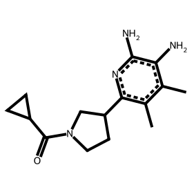 Cc1c(C2CCN(C(=O)C3CC3)C2)nc(N)c(N)c1C